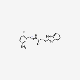 Bc1ccc(F)c(/C=N/NC(=O)CSc2nc3ccccc3[nH]2)c1